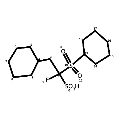 O=S(=O)(O)C(F)(CC1CCCCC1)S(=O)(=O)C1CCCCC1